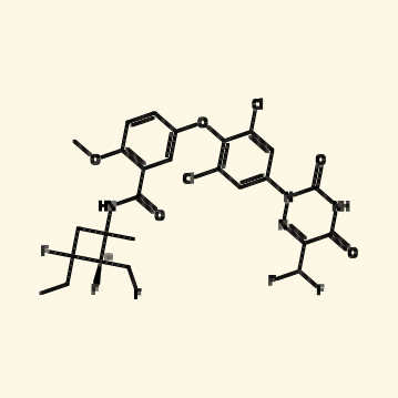 CCC1(F)CC(C)(NC(=O)c2cc(Oc3c(Cl)cc(-n4nc(C(F)F)c(=O)[nH]c4=O)cc3Cl)ccc2OC)[C@]1(F)CF